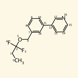 CCC(F)(F)OCc1cccc(-c2cccnc2)c1